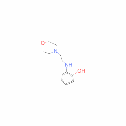 Oc1ccccc1NCCN1CCOCC1